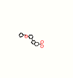 COC(=O)C1CCc2ccc(-c3cccc(OCc4ccccc4)c3)cc2C1